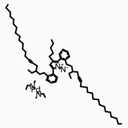 CCCCCCCCCCCCCCC#CCC(CC)CCc1ccccc1C1=CC(CCCCC)=C(c2ccccc2CCC(CC)CC#CCCCCCCCCCCCCCC)[N+]1=[N-].CC[N](C)[Pd][N](C)CC